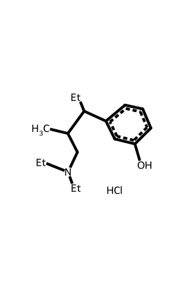 CCC(c1cccc(O)c1)C(C)CN(CC)CC.Cl